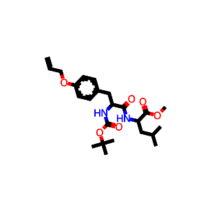 C=CCOc1ccc(CC(NC(=O)OC(C)(C)C)C(=O)NC(CC(C)C)C(=O)OC)cc1